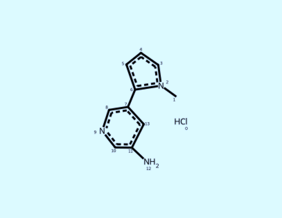 Cl.Cn1cccc1-c1cncc(N)c1